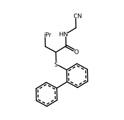 CC(C)CC(Sc1ccccc1-c1ccccc1)C(=O)NCC#N